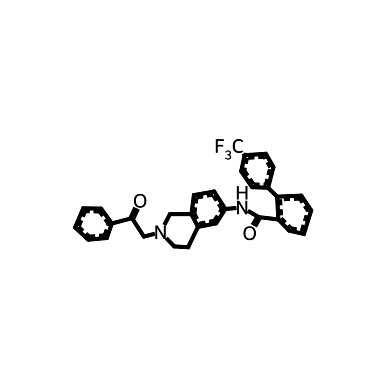 O=C(CN1CCc2cc(NC(=O)c3ccccc3-c3ccc(C(F)(F)F)cc3)ccc2C1)c1ccccc1